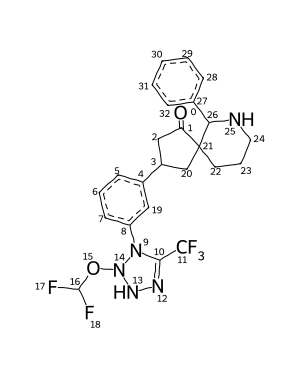 O=C1CC(c2cccc(N3C(C(F)(F)F)=NNN3OC(F)F)c2)CC12CCCNC2c1ccccc1